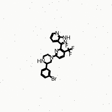 FC(F)(F)c1ccc(N2CCNC(c3cccc(Br)c3)C2)nc1-c1n[nH]c2ncccc12